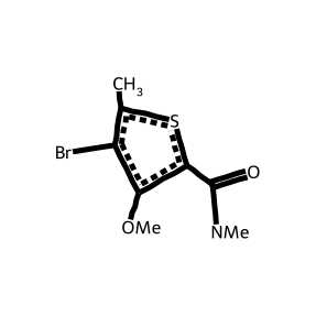 CNC(=O)c1sc(C)c(Br)c1OC